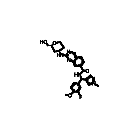 COc1ccc(C(NC(=O)c2ccc3cnc(N[C@H]4CCO[C@H](CO)C4)nc3c2)c2cnn(C)c2)cc1F